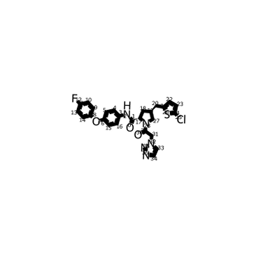 O=C(Nc1ccc(Oc2ccc(F)cc2)cc1)[C@@H]1C[C@@H](Cc2ccc(Cl)s2)CN1C(=O)Cn1ccnn1